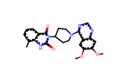 COc1cc2ncnc(N3CCC(n4c(=O)[nH]c5c(C)cccc5c4=O)CC3)c2cc1OC